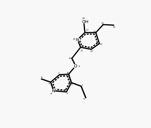 CCc1cnc(C)cc1OCc1ccc(CC)c(O)n1